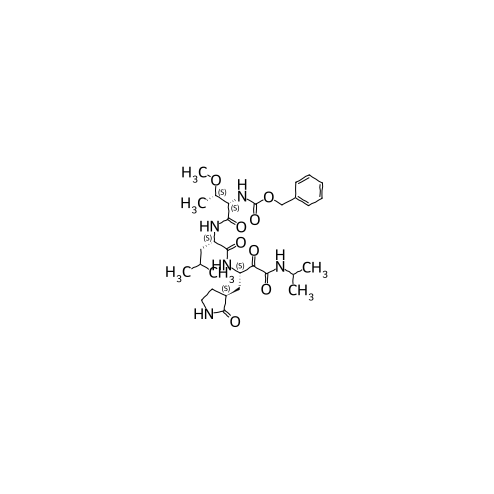 CO[C@@H](C)[C@H](NC(=O)OCc1ccccc1)C(=O)N[C@@H](CC(C)C)C(=O)N[C@@H](C[C@@H]1CCNC1=O)C(=O)C(=O)NC(C)C